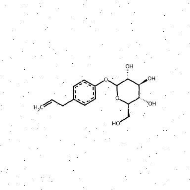 C=CCc1ccc(OC2O[C@H](CO)[C@@H](O)[C@H](O)[C@H]2O)cc1